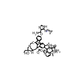 CC[C@]1(O)C[C@H]2CN(CCc3c([nH]c4ccccc34)[C@@](C(=O)OC)(c3cc4c(cc3OC)N(C)[C@H]3[C@@](O)(C(N)=O)[C@H](O)[C@]5(CC)C=CCN6CC[C@]43[C@@H]65)C2)C1.CN(C)/N=N/c1[nH]cnc1C(N)=O